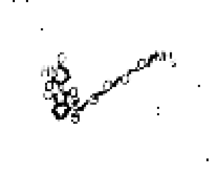 NCCOCCOCCOCCOCCS(=O)(=O)c1cccc2c1C(=O)N(C1CCC(=O)NC1=O)C2=O